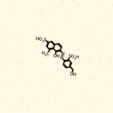 Cc1cc(S(=O)(=O)O)cc2ccc(N=Nc3ccc(CO)cc3S(=O)(=O)O)c(O)c12